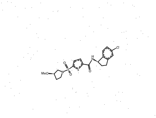 CO[C@@H]1CCN(S(=O)(=O)c2ccc(C(=O)N[C@@H]3CCc4cc(Cl)ccc43)s2)C1